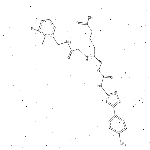 Cc1ccc(-c2cc(NC(=O)OC[C@H](CCCC(=O)O)NCC(=O)NCc3cccc(F)c3F)no2)cc1